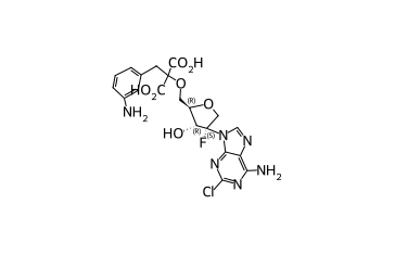 Nc1cccc(CC(OC[C@H]2OC[C@@](F)(n3cnc4c(N)nc(Cl)nc43)[C@@H]2O)(C(=O)O)C(=O)O)c1